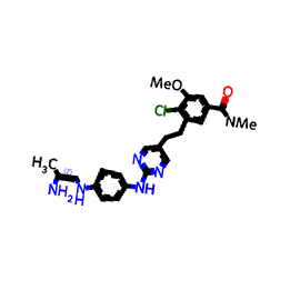 CNC(=O)c1cc(CCc2cnc(Nc3ccc(N/C=C(/C)N)cc3)nc2)c(Cl)c(OC)c1